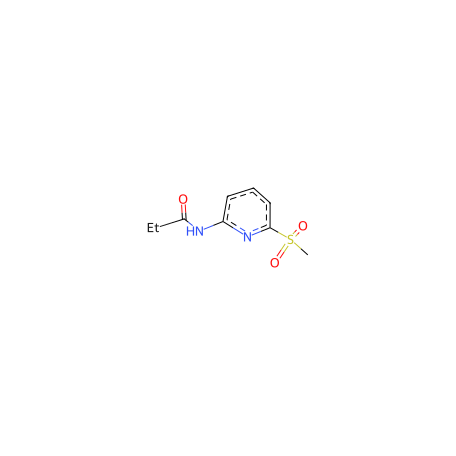 CCC(=O)Nc1cccc(S(C)(=O)=O)n1